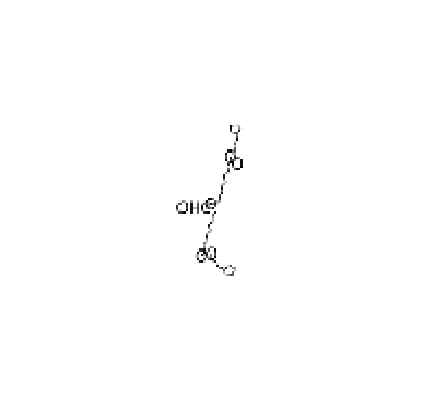 O=COC(CCCCCCCCC(=O)OCCCC1CCCC1)CCCCCCCCC(=O)OCCCC1CCCC1